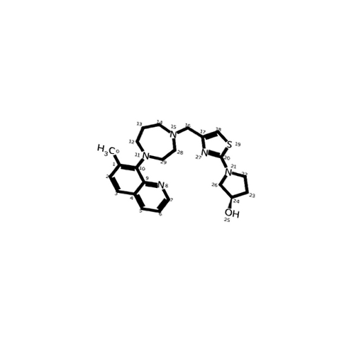 Cc1ccc2cccnc2c1N1CCCN(Cc2csc(N3CC[C@@H](O)C3)n2)CC1